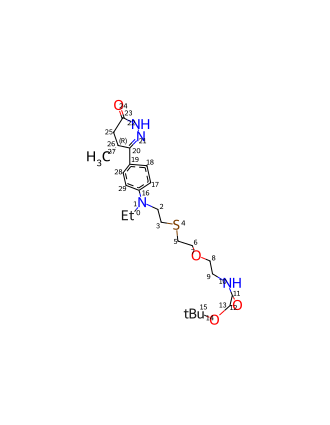 CCN(CCSCCOCCNC1OC1OC(C)(C)C)c1ccc(C2=NNC(=O)C[C@H]2C)cc1